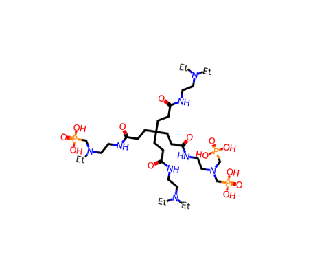 CCN(CC)CCNC(=O)CCC(CCC(=O)NCCN(CC)CC)(CCC(=O)NCCN(CC)CP(=O)(O)O)CCC(=O)NCCN(CP(=O)(O)O)CP(=O)(O)O